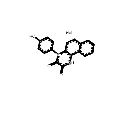 O=c1[nH]c2c3ccccc3ccc2n(-c2ccc(O)cc2)c1=O.[NaH]